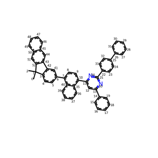 CC1(C)c2ccc(-c3ccc(-c4cc(-c5ccccc5)nc(-c5ccc(-c6ccccc6)cc5)n4)c4ccccc34)cc2-c2cc3ccccc3cc21